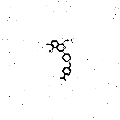 Cc1ccc2c(c1O)C[C@@H](C1CCN(Cc3ccc(C(C)C)cc3)CC1)O[C@H]2CN